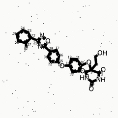 O=C1NC(=O)C(CCO)(Oc2ccc(Oc3ccc(-c4nc(-c5ccccc5F)no4)cc3)cc2)C(=O)N1